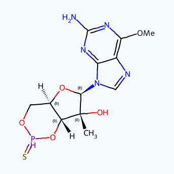 COc1nc(N)nc2c1ncn2[C@@H]1O[C@@H]2CO[PH](=S)O[C@H]2[C@@]1(C)O